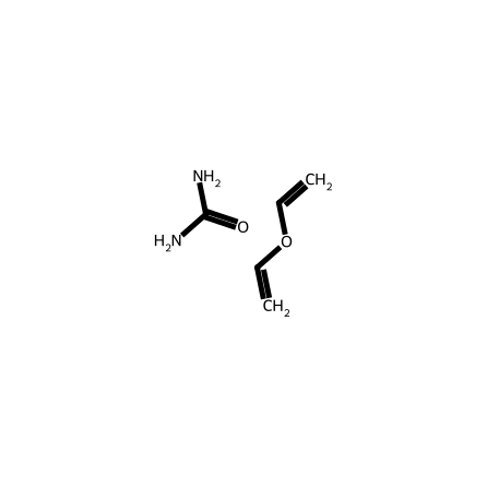 C=COC=C.NC(N)=O